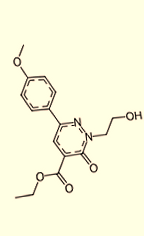 CCOC(=O)c1cc(-c2ccc(OC)cc2)nn(CCO)c1=O